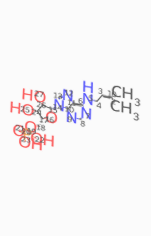 CC(C)=CCNc1ncnc2c1ncn2[C@@H]1O[C@H](COP(=O)(O)O)[C@@H](O)[C@H]1O